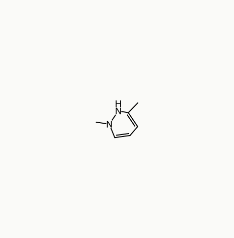 CC1=CC=CN(C)N1